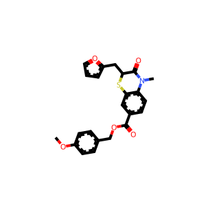 COc1ccc(COC(=O)c2ccc3c(c2)SC(Cc2ccco2)C(=O)N3C)cc1